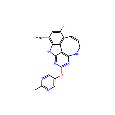 CNc1cc(F)c2c3c1[nH]c1nc(Oc4cnc(C)nc4)nc(c13)NC/C=C\2